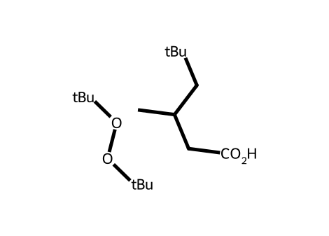 CC(C)(C)OOC(C)(C)C.CC(CC(=O)O)CC(C)(C)C